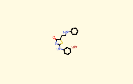 Br.O=C1N=C(Nc2ccccc2)SC1CCNc1ccccc1